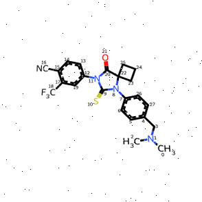 CN(C)Cc1ccc(N2C(=S)N(c3ccc(C#N)c(C(F)(F)F)c3)C(=O)C23CCC3)cc1